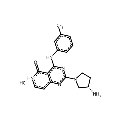 Cl.N[C@H]1CCN(c2nc(Nc3cccc(C(F)(F)F)c3)c3c(=O)[nH]ccc3n2)C1